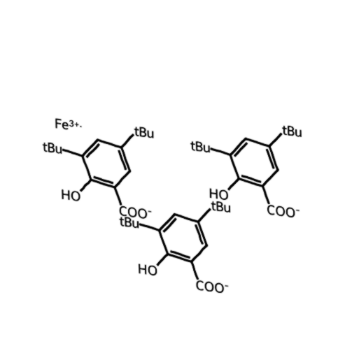 CC(C)(C)c1cc(C(=O)[O-])c(O)c(C(C)(C)C)c1.CC(C)(C)c1cc(C(=O)[O-])c(O)c(C(C)(C)C)c1.CC(C)(C)c1cc(C(=O)[O-])c(O)c(C(C)(C)C)c1.[Fe+3]